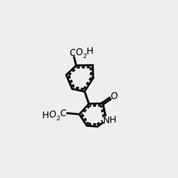 O=C(O)c1ccc(-c2c(C(=O)O)cc[nH]c2=O)cc1